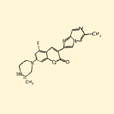 Cc1cn2cc(-c3cc4c(F)cc(N5CCN[C@@H](C)C5)cc4oc3=O)nc2cn1